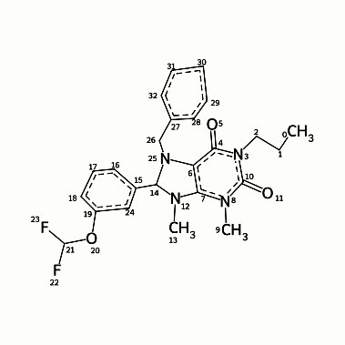 CCCn1c(=O)c2c(n(C)c1=O)N(C)C(c1cccc(OC(F)F)c1)N2Cc1ccccc1